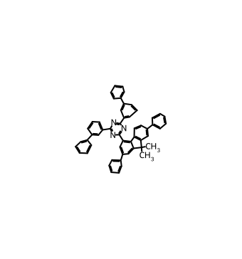 CC1(C)c2cc(-c3ccccc3)ccc2-c2c(-c3nc(-c4cccc(-c5ccccc5)c4)nc(-c4cccc(-c5ccccc5)c4)n3)cc(-c3ccccc3)cc21